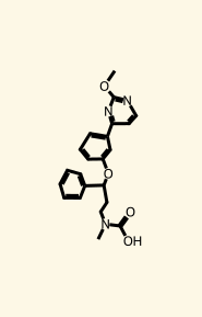 COc1nccc(-c2cccc(OC(CCN(C)C(=O)O)c3ccccc3)c2)n1